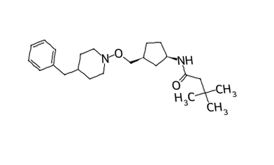 CC(C)(C)CC(=O)N[C@@H]1CC[C@H](CON2CCC(Cc3ccccc3)CC2)C1